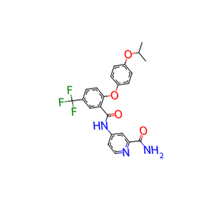 CC(C)Oc1ccc(Oc2ccc(C(F)(F)F)cc2C(=O)Nc2ccnc(C(N)=O)c2)cc1